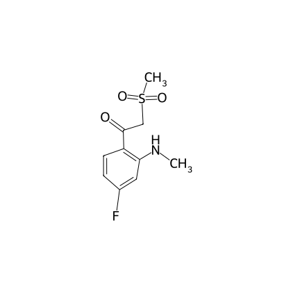 CNc1cc(F)ccc1C(=O)CS(C)(=O)=O